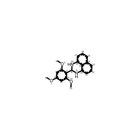 COc1cc(OC)c(C2Nc3cccc4cccc(c34)N2)c(OC)c1